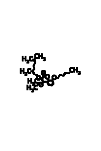 CCC=CCCOc1cccc2c(OC(C)C)c(OCC=C(C)CCC=C(C)C)c(=O)oc12